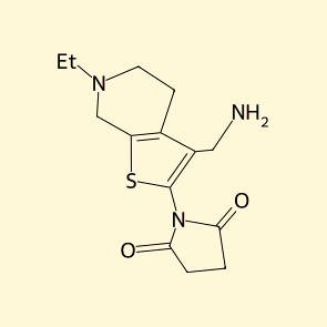 CCN1CCc2c(sc(N3C(=O)CCC3=O)c2CN)C1